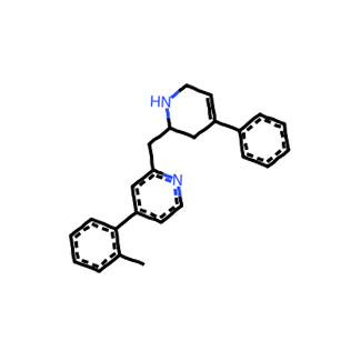 Cc1ccccc1-c1ccnc(CC2CC(c3ccccc3)=CCN2)c1